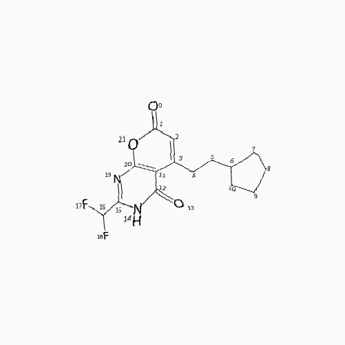 O=c1cc(CCC2CCCC2)c2c(=O)[nH]c(C(F)F)nc2o1